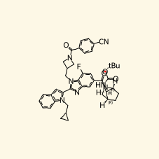 CC(C)(C)OC(=O)N[C@@H]1[C@@H]2CC[C@H]1N(C(=O)c1cc(F)c3c(c1)nc(-c1cc4ccccc4n1CC1CC1)n3CC1CN(C(=O)c3ccc(C#N)cc3)C1)C2